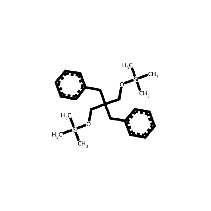 C[Si](C)(C)OCC(CO[Si](C)(C)C)(Cc1ccccc1)Cc1ccccc1